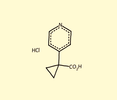 Cl.O=C(O)C1(c2ccncc2)CC1